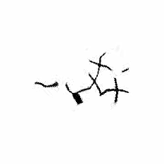 CCOC(=O)C1(O)CC(C)(C)[NH+]([O-])C1(C)C